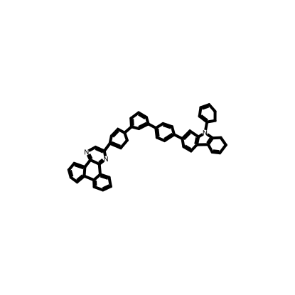 C1=CCCC(n2c3c(c4ccc(-c5ccc(-c6cccc(C7C=CC(c8cnc9c%10ccccc%10c%10ccccc%10c9n8)=CC7)c6)cc5)cc42)C=CCC3)=C1